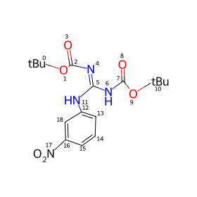 CC(C)(C)OC(=O)N=C(NC(=O)OC(C)(C)C)Nc1cccc([N+](=O)[O-])c1